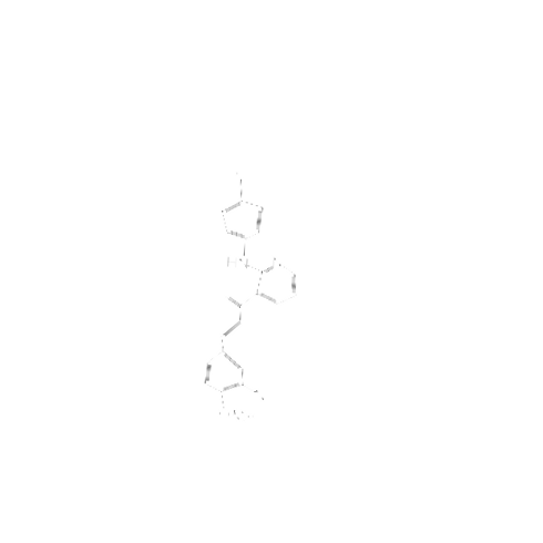 COc1ccc(/C=C/C(=O)c2cccnc2Nc2ccc(Cl)cc2)cc1N